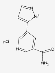 Cl.NC(=O)c1cncc(-c2ccn[nH]2)c1